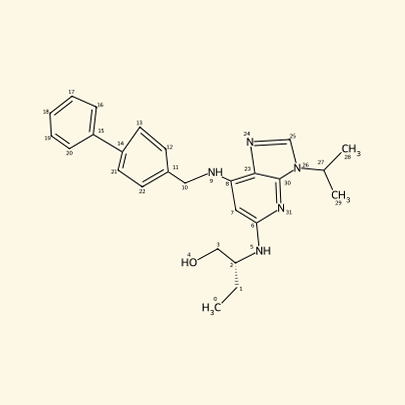 CC[C@H](CO)Nc1cc(NCc2ccc(-c3ccccc3)cc2)c2ncn(C(C)C)c2n1